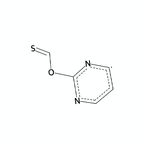 S=COc1n[c]ccn1